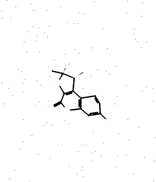 C[C@H]1c2c(c(=O)oc3cc(F)ccc23)O[C@@]1(C)C(F)(F)F